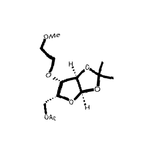 COCCO[C@@H]1[C@H]2OC(C)(C)O[C@H]2O[C@@H]1COC(C)=O